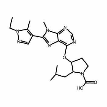 CCn1ncc(-c2nc3c(OC4CCN(C(=O)O)C4CC(C)C)ncnc3n2C)c1C